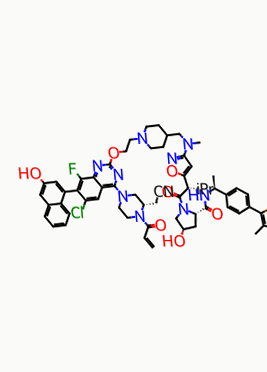 C=CC(=O)N1CCN(c2nc(OCCN3CCC(CN(C)c4cc([C@@H](C(=O)N5C[C@H](O)C[C@H]5C(=O)N[C@@H](C)c5ccc(-c6scnc6C)cc5)C(C)C)on4)CC3)nc3c(F)c(-c4cc(O)cc5ccccc45)c(Cl)cc23)C[C@@H]1CC#N